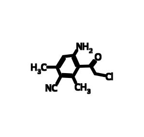 Cc1cc(N)c(C(=O)CCl)c(C)c1C#N